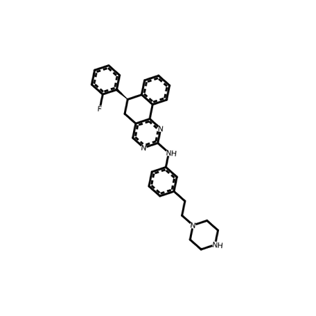 Fc1ccccc1[C@@H]1Cc2cnc(Nc3cccc(CCN4CCNCC4)c3)nc2-c2ccccc21